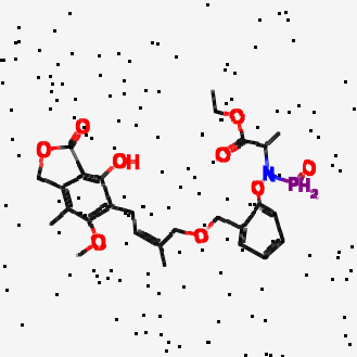 CCOC(=O)C(C)N(Oc1ccccc1COCC(C)=CCc1c(O)c2c(c(C)c1OC)COC2=O)[PH2]=O